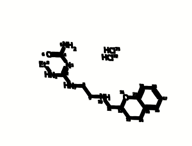 CCNC(=NC(N)=O)NCCNCC1CCc2ccccc2O1.Cl.Cl